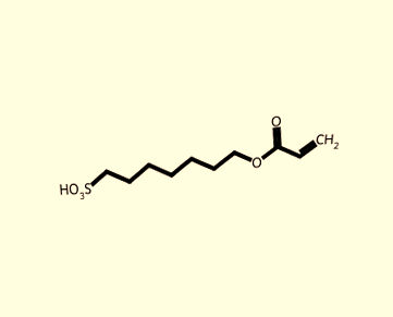 C=CC(=O)OCCCCCCCS(=O)(=O)O